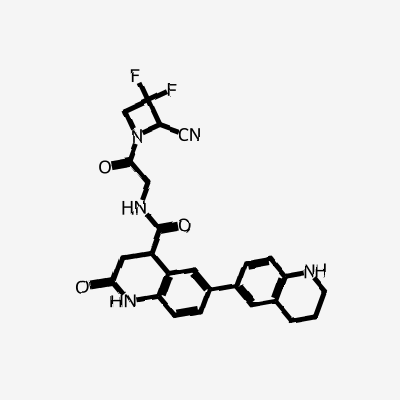 N#CC1N(C(=O)CNC(=O)C2CC(=O)Nc3ccc(-c4ccc5c(c4)CCCN5)cc32)CC1(F)F